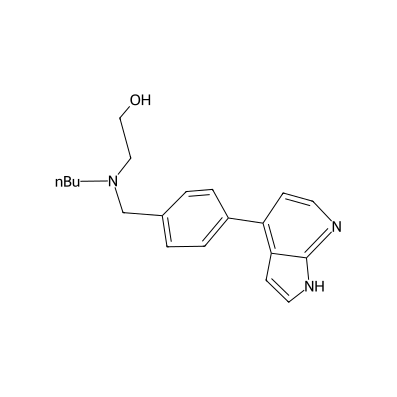 CCCCN(CCO)Cc1ccc(-c2ccnc3[nH]ccc23)cc1